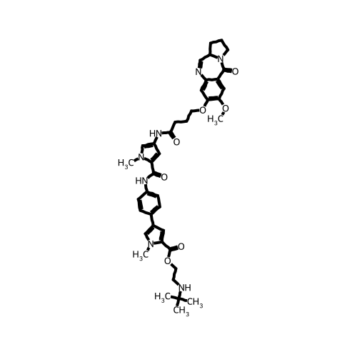 COc1cc2c(cc1OCCCC(=O)Nc1cc(C(=O)Nc3ccc(-c4cc(C(=O)OCCNC(C)(C)C)n(C)c4)cc3)n(C)c1)N=CC1CCCN1C2=O